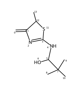 C=C1N=C(NC(O)C(C)(C)C)SC1C